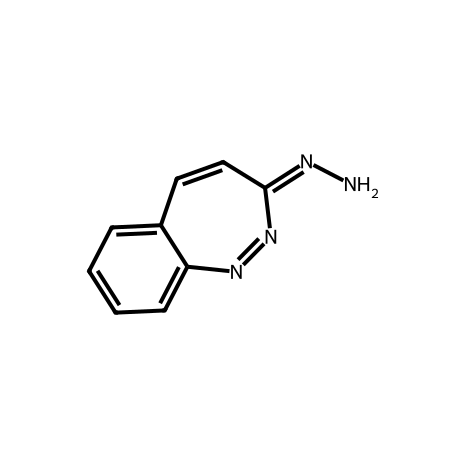 NN=c1ccc2ccccc2nn1